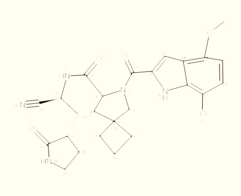 COc1ccc(Cl)c2[nH]c(C(=O)N3CC4(CCC4)CC3C(=O)N[C@H](C#N)C[C@@H]3CCNC3=O)cc12